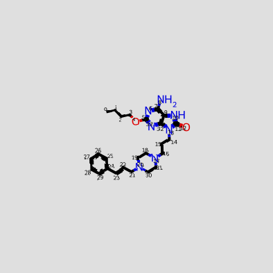 CCCCOc1nc(N)c2[nH]c(=O)n(CCCN3CCN(CC=Cc4ccccc4)CC3)c2n1